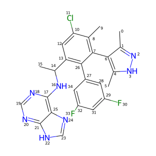 Cc1n[nH]c(C)c1-c1c(C)c(Cl)cc(C(C)Nc2ncnc3[nH]cnc23)c1-c1cc(F)cc(F)c1